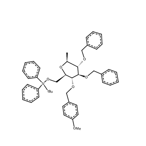 COc1ccc(CO[C@H]2[C@H](OCc3ccccc3)[C@@H](OCc3ccccc3)[C@H](C)O[C@@H]2CO[Si](c2ccccc2)(c2ccccc2)C(C)(C)C)cc1